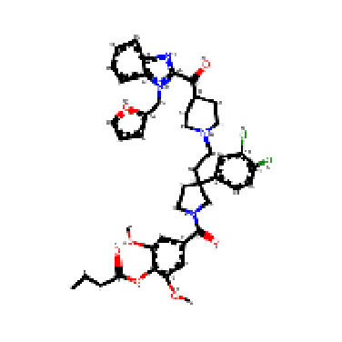 CCCC(=O)Oc1c(OC)cc(C(=O)N2CCC(CCN3CCC(C(=O)c4nc5ccccc5n4Cc4ccco4)CC3)(c3ccc(Cl)c(Cl)c3)C2)cc1OC